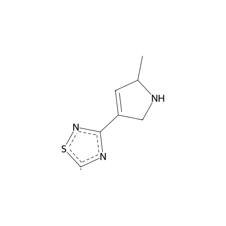 CC1C=C(c2n[c]sn2)CN1